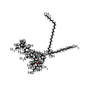 CCCCCCCC/C=C\CCCCCCCCCCCCCCCC(=O)N[C@@H](CO[C@@H]1OC(CO)[C@@H](O[C@@H]2OC(CO)[C@H](O[C@@H]3OC(CO)[C@H](O)[C@H](O[C@@H]4OC(CO)[C@H](O)[C@H](O[C@@H]5OC(CO)[C@H](O)[C@H](O)C5NC(C)=O)C4O)C3NC(C)=O)[C@H](O[C@]3(C(=O)O)CC(O)[C@@H](NC(C)=O)C([C@H](O)[C@H](O)CO)O3)C2O)[C@H](O)C1O)[C@H](O)/C=C/CCCCCCCCCCCCC